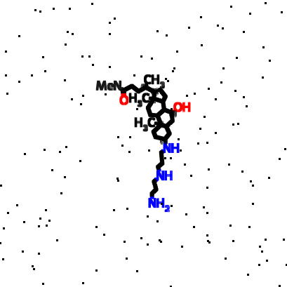 CNC(=O)CC[C@@H](C)[C@H]1CCC2C3C(CC[C@@]21C)[C@@]1(C)CC[C@H](NCCCNCCCN)CC1C[C@H]3O